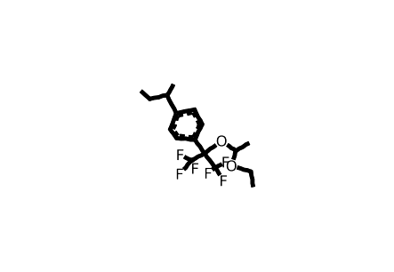 CCOC(C)OC(c1ccc(C(C)CC)cc1)(C(F)(F)F)C(F)(F)F